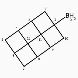 BC12CC3C4CC5CC6C(C1)C32C546